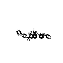 O=C(/C=C/c1ccc(Sc2cccc(NC3CCOCC3)c2)c(C(F)(F)F)c1C(F)(F)F)N1CCN(c2cnccn2)CC1